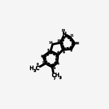 Cc1cc2c(cc1C)-c1cccnc1C2